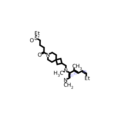 C=N/C=C(/C(C)=C/C=C\CC)N(C)CC1CC2(CCN(C(=O)CCC[S+]([O-])CC)CC2)C1